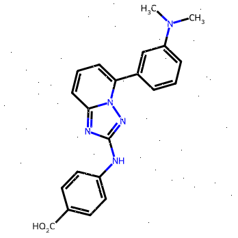 CN(C)c1cccc(-c2cccc3nc(Nc4ccc(C(=O)O)cc4)nn23)c1